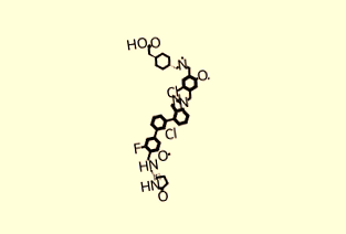 COc1cc(Cn2ncc3c(-c4cccc(-c5cc(F)c(CNC[C@@H]6CCC(=O)N6)c(OC)c5)c4Cl)cccc32)c(Cl)cc1CN(C)C[C@H]1CC[C@H](CC(=O)O)CC1